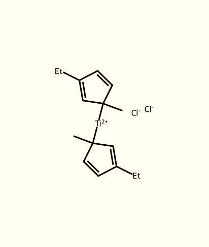 CCC1=C[C](C)([Ti+2][C]2(C)C=CC(CC)=C2)C=C1.[Cl-].[Cl-]